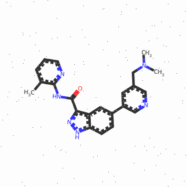 Cc1cccnc1NC(=O)c1n[nH]c2ccc(-c3cncc(CN(C)C)c3)cc12